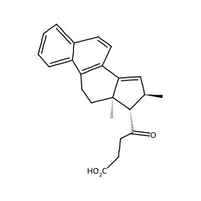 C[C@@H]1C=C2c3ccc4ccccc4c3CC[C@]2(C)[C@H]1C(=O)CCC(=O)O